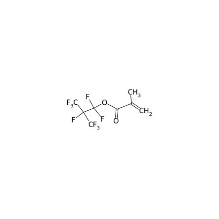 C=C(C)C(=O)OC(F)(F)C(F)(C(F)(F)F)C(F)(F)F